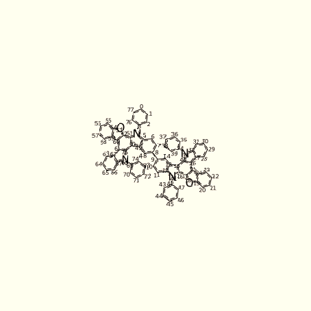 c1ccc(-n2c3ccc(-c4ccc5c(c4)c4c(c6oc7ccccc7c6c6c7ccccc7n(-c7ccccc7)c64)n5-c4ccccc4)cc3c3c2c2oc4ccccc4c2c2c4ccccc4n(-c4ccccc4)c23)cc1